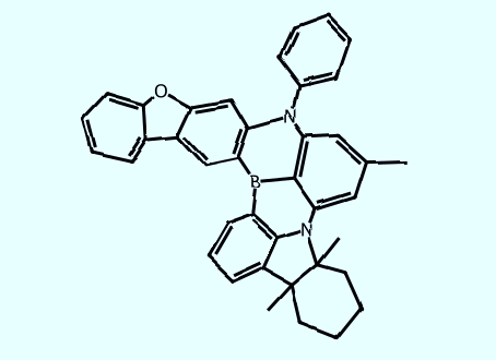 Cc1cc2c3c(c1)N1c4c(cccc4C4(C)CCCCC14C)B3c1cc3c(cc1N2c1ccccc1)oc1ccccc13